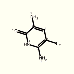 Nc1[nH]c(=O)c(N)cc1I